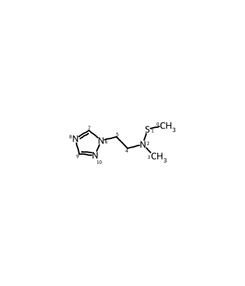 CSN(C)CCn1cncn1